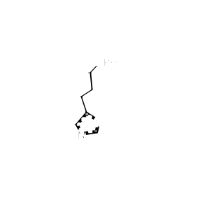 CCCCCCCCc1cnco1